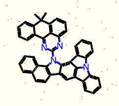 CC1(C)c2ccccc2-c2nc(-n3c4c5ccccc5ccc4c4cc5c6ccccc6n6c7ccccc7c(c43)c56)nc3cccc1c23